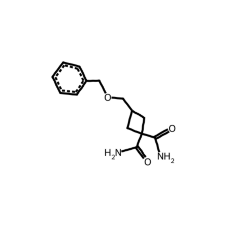 NC(=O)C1(C(N)=O)CC(COCc2ccccc2)C1